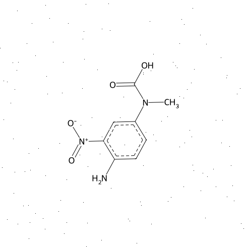 CN(C(=O)O)c1ccc(N)c([N+](=O)[O-])c1